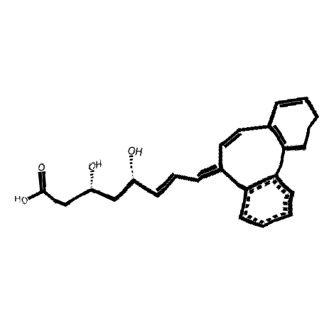 O=C(O)C[C@H](O)C[C@H](O)/C=C/C=C1C=CC2=C(CCC=C2)c2ccccc21